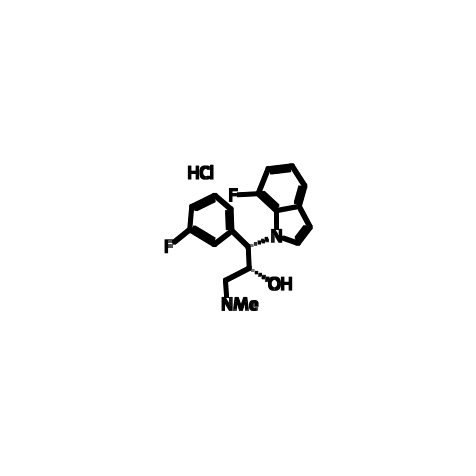 CNC[C@@H](O)[C@H](c1cccc(F)c1)n1ccc2cccc(F)c21.Cl